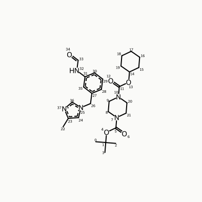 CC(C)(C)OC(=O)N1CCN(C(=O)OC2CCCCC2)CC1.Cc1cn(Cc2cccc(NC=O)c2)cn1